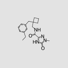 CCc1cccc(CC2(CNC(=O)c3nn(C)c(=O)[nH]3)CCC2)c1